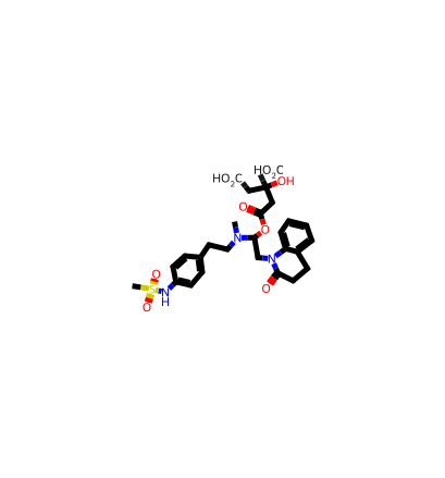 CN(CCc1ccc(NS(C)(=O)=O)cc1)C(CN1C(=O)CCc2ccccc21)OC(=O)CC(O)(CC(=O)O)C(=O)O